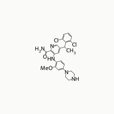 COc1cc(N2CCNCC2)ccc1Nc1cc(C(C)c2c(Cl)cccc2Cl)cnc1C(N)=O